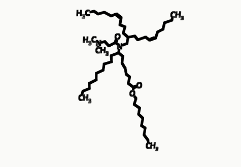 CCCCC/C=C\CCCC(CCC/C=C\CCCCC)CN(C(=O)CCN(C)C)C(CCCCCCCCCC)CCCCCCC(=O)OCCCCCCCCCC